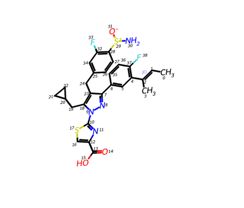 C/C=C(\C)c1cc(-c2nn(-c3nc(C(=O)O)cs3)c(CC3CC3)c2Cc2ccc([S+](N)[O-])c(F)c2)ccc1F